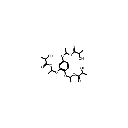 CC(OC(=O)C(C)O)Oc1ccc(OC(C)OC(=O)C(C)O)c(OC(C)OC(=O)C(C)O)c1